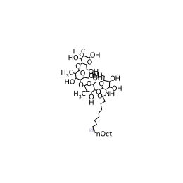 CCCCCCCC/C=C\CCCCCCCC(=O)NC1C(OC2C(CO)OC(OC3C(CO)OC(OC4C(CO)OC(O)C(C)C4O)C(C)C3O)C(C)C2O)OC(CO)C(O)C1O